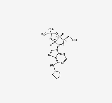 CC1(C)O[C@@H]2[C@H](O1)[C@@H](CO)O[C@H]2n1cnc2c(NC3CCCC3)ncnc21